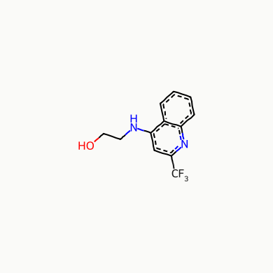 OCCNc1cc(C(F)(F)F)nc2ccccc12